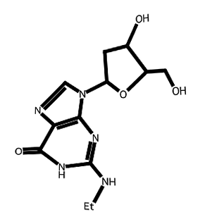 CCNc1nc2c(ncn2C2CC(O)C(CO)O2)c(=O)[nH]1